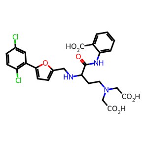 O=C(O)CN(CCC(NCc1ccc(-c2cc(Cl)ccc2Cl)o1)C(=O)Nc1ccccc1C(=O)O)CC(=O)O